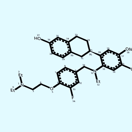 CCN(CC)CCOc1ccc(CN(CC)c2cc(OC)c(OC)cc2[C@@H]2CCc3cc(O)ccc3C2)cc1F